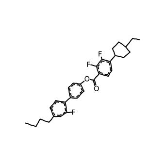 CCCCc1ccc(-c2ccc(OC(=O)c3ccc(C4CCC(CC)CC4)c(F)c3F)cc2)c(F)c1